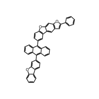 c1ccc(-c2cc3cc4c(cc3o2)oc2ccc(-c3c5ccccc5c(-c5ccc6c(c5)oc5ccccc56)c5ccccc35)cc24)cc1